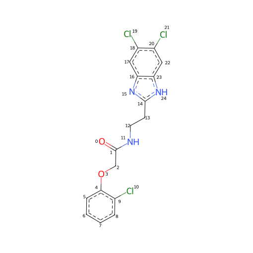 O=C(COc1ccccc1Cl)NCCc1nc2cc(Cl)c(Cl)cc2[nH]1